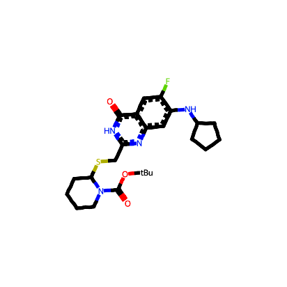 CC(C)(C)OC(=O)N1CCCCC1SCc1nc2cc(NC3CCCC3)c(F)cc2c(=O)[nH]1